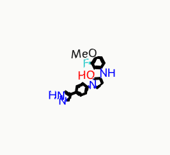 COc1ccc(NC2CCN(c3ccc(-c4cn[nH]c4)cc3)C2O)cc1F